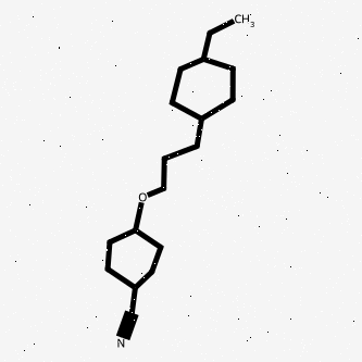 CCC1CCC(CCCOC2CCC(C#N)CC2)CC1